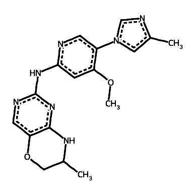 COc1cc(Nc2ncc3c(n2)NC(C)CO3)ncc1-n1cnc(C)c1